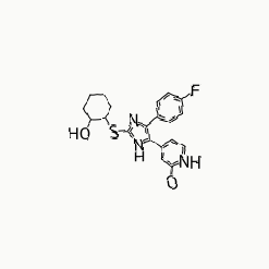 O=c1cc(-c2[nH]c(SC3CCCCC3O)nc2-c2ccc(F)cc2)cc[nH]1